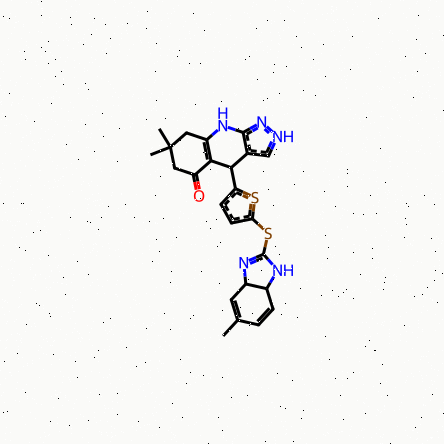 CC1=CC2N=C(Sc3ccc(C4C5=C(CC(C)(C)CC5=O)Nc5n[nH]cc54)s3)NC2C=C1